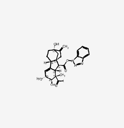 C=C1C[C@]23C[C@@]1(O)CC[C@H]2C1=C[C@@H](O)[C@H](O)[C@@](C)(C(=O)I)[C@H]1[C@@H]3C(=O)On1nnc2ccccc21